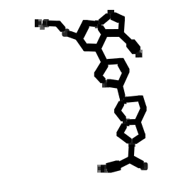 C#CC(=O)N1CC2CCN(c3ccc(-c4cc(OCC)cn5ncc(C#N)c45)cn3)CN2C1